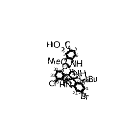 COc1cc(C(=O)O)ccc1NC(=O)[C@@H]1N[C@@H](CC(C)(C)C)C2(C(=O)Nc3cc(Br)ccc32)[C@H]1c1cccc(Cl)c1F